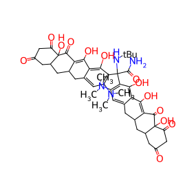 CN(C)c1cc2c(c(O)c1C(NC(C)(C)C)(C(N)=O)c1c(N(C)C)cc3c(c1O)C(O)=C1C(=O)C4(O)C(=O)CC(=O)CC4CC1C3)C(O)=C1C(=O)C3(O)C(=O)CC(=O)CC3CC1C2